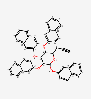 C#CCC1OC(Oc2ccc3ccccc3c2)C(Oc2ccc3ccccc3c2)C(Oc2ccc3ccccc3c2)C1Oc1ccc2ccccc2c1